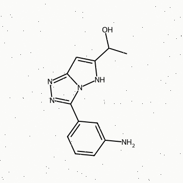 CC(O)c1cc2nnc(-c3cccc(N)c3)n2[nH]1